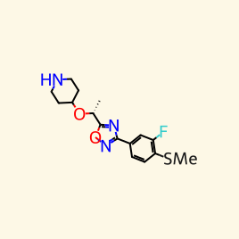 CSc1ccc(-c2noc([C@@H](C)OC3CCNCC3)n2)cc1F